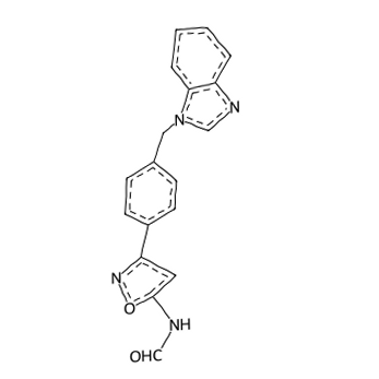 O=CNc1cc(-c2ccc(Cn3cnc4ccccc43)cc2)no1